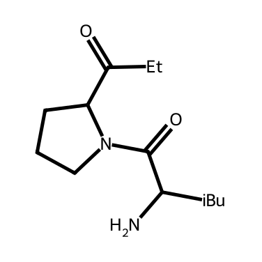 CCC(=O)C1CCCN1C(=O)C(N)C(C)CC